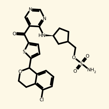 NS(=O)(=O)OCC1CC[C@H](Nc2ncncc2C(=O)c2ccc(C3OCCc4c(Cl)cccc43)s2)C1